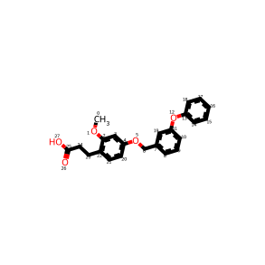 COc1cc(OCc2cccc(Oc3ccccc3)c2)ccc1CCC(=O)O